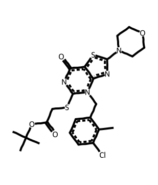 Cc1c(Cl)cccc1Cn1c(SCC(=O)OC(C)(C)C)nc(=O)c2sc(N3CCOCC3)nc21